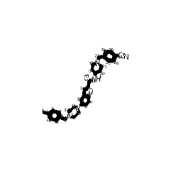 Cc1ccc(CN2CCN(c3ccc4oc(C(=O)NC5CCN(Cc6ccc(C#N)cc6)CC5)cc4c3)CC2)cc1